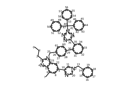 CCCc1nc2c(C)cc(-c3cn(Cc4ccccc4)cn3)cc2n1Cc1ccc(-c2ccccc2-c2nnn(C(c3ccccc3)(c3ccccc3)c3ccccc3)n2)cc1